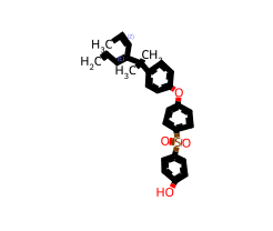 C=C/C=C(\C=C/C)C(C)(C)c1ccc(Oc2ccc(S(=O)(=O)c3ccc(O)cc3)cc2)cc1